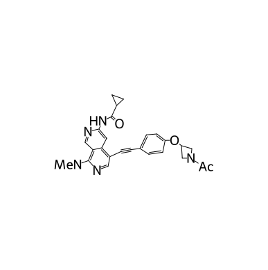 CNc1ncc(C#Cc2ccc(OC3CN(C(C)=O)C3)cc2)c2cc(NC(=O)C3CC3)ncc12